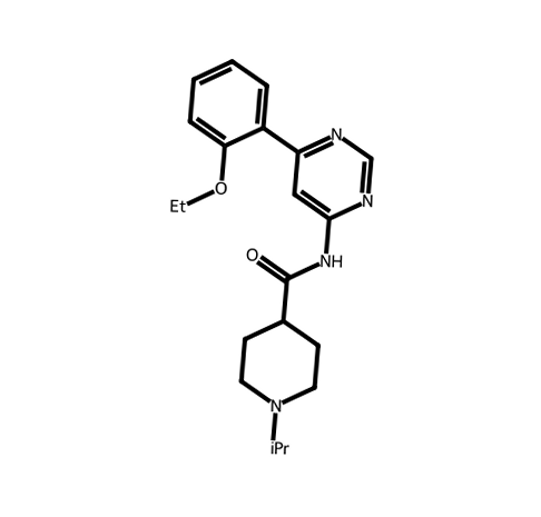 CCOc1ccccc1-c1cc(NC(=O)C2CCN(C(C)C)CC2)ncn1